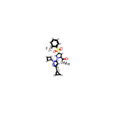 COC(=O)C1C[C@@H](S(=O)(=O)c2ccccc2C(F)(F)F)CN1c1cc(C2CC2)nn1C1CCC1